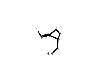 C/C=C1\CCC1CN